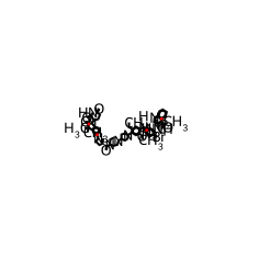 CCc1cc(Nc2ncc(Br)c(Nc3cnc4ccccc4c3P(C)(C)=O)n2)c(OC)cc1N1CCC(N2CCN(C(=O)[C@H]3CCN(c4ccc5c(c4)C(C)(C)C(=O)N5C4CCC(=O)NC4=O)C3)CC2)CC1